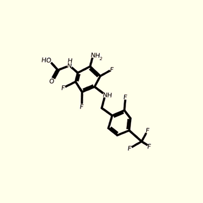 Nc1c(F)c(NCc2ccc(C(F)(F)F)cc2F)c(F)c(F)c1NC(=O)O